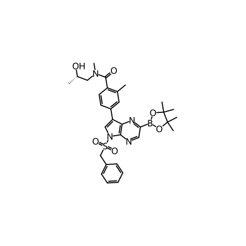 Cc1cc(-c2cn(S(=O)(=O)Cc3ccccc3)c3ncc(B4OC(C)(C)C(C)(C)O4)nc23)ccc1C(=O)N(C)C[C@H](C)O